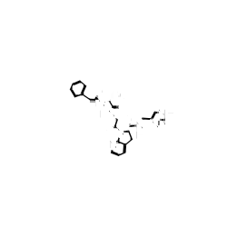 CC[C@H](C)[C@H](NC(=O)Cc1ccccc1)C(=O)NCC(=O)N1c2ncccc2C[C@H]1C(=O)NCc1c[nH]nn1